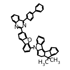 CC1(C)c2ccccc2C2=c3c(n(-c4cccc5c4oc4cc(-c6nc(-c7ccc(-c8ccccc8)cc7)c7ccccc7n6)ccc45)c4ccccc34)=CCC21